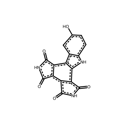 O=c1[nH]c(=O)c2c1c1[nH]c3ccc(O)cc3c1c1c(=O)[nH]c(=O)c21